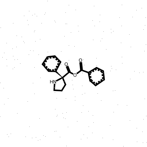 O=C(OC(=O)[C@]1(c2ccccc2)CCCN1)c1ccccc1